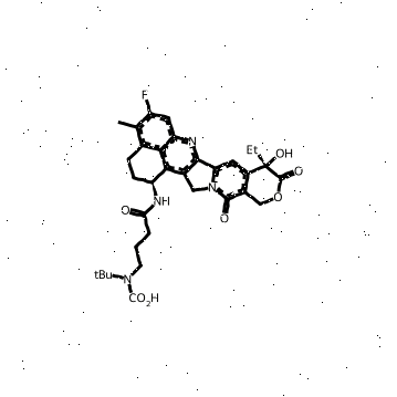 CC[C@@]1(O)C(=O)OCc2c1cc1n(c2=O)Cc2c-1nc1cc(F)c(C)c3c1c2[C@@H](NC(=O)CCCN(C(=O)O)C(C)(C)C)CC3